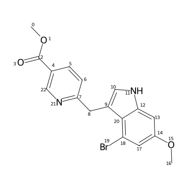 COC(=O)c1ccc(Cc2c[nH]c3cc(OC)cc(Br)c23)nc1